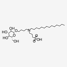 CCCCCCCCCCCCCCN(CCCCO[C@@H]1O[C@H](CO)[C@@H](O)[C@H](O)[C@H]1O)CCCS(=O)(=O)O